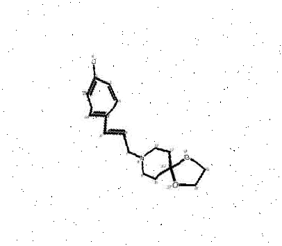 Clc1ccc(/C=C/CN2CCC3(CC2)OCCO3)cc1